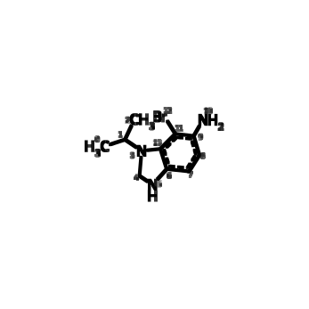 CC(C)N1CNc2ccc(N)c(Br)c21